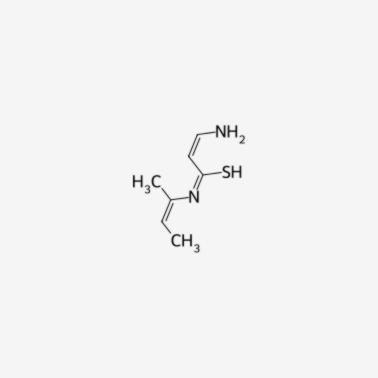 C\C=C(C)/N=C(S)\C=C/N